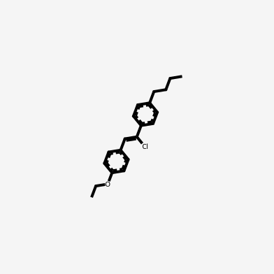 CCCCc1ccc(C(Cl)=Cc2ccc(OCC)cc2)cc1